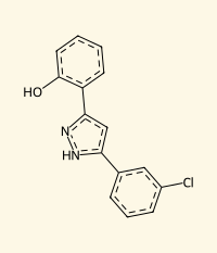 Oc1ccccc1-c1cc(-c2cccc(Cl)c2)[nH]n1